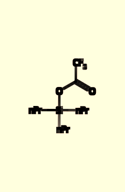 CCC[Si](CCC)(CCC)OC(=O)C(F)(F)F